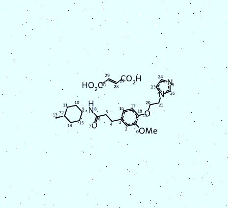 COc1cc(CCC(=O)N[C@H]2CC[C@H](C)CC2)ccc1OCCn1ccnc1.O=C(O)C=CC(=O)O